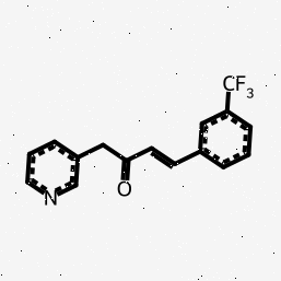 O=C(C=Cc1cccc(C(F)(F)F)c1)Cc1cccnc1